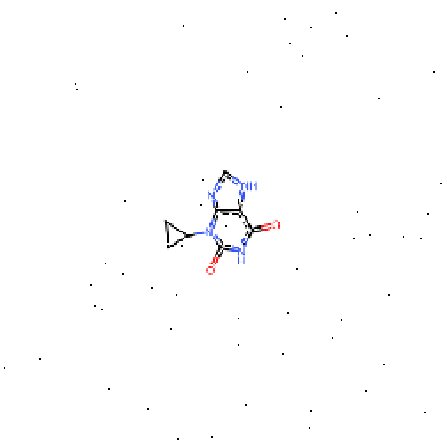 O=c1[nH]c(=O)n(C2CC2)c2nc[nH]c12